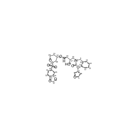 O=C(Oc1ccoc1)N(Cc1ccccc1)CC(O)CNOC1CCOC(S(=O)(=O)c2ccc3c(c2)OCO3)C1